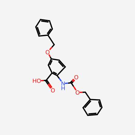 O=C(Nc1ccc(OCc2ccccc2)cc1C(=O)O)OCc1ccccc1